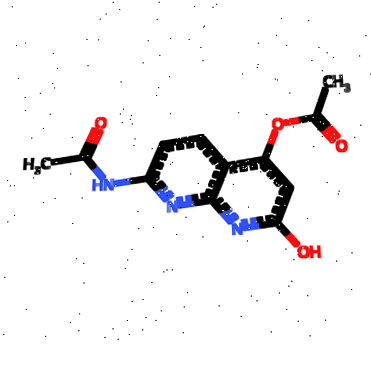 CC(=O)Nc1ccc2c(OC(C)=O)cc(O)nc2n1